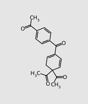 CC(=O)c1ccc(C(=O)C2=CCC(C(C)=O)(C(C)=O)C=C2)cc1